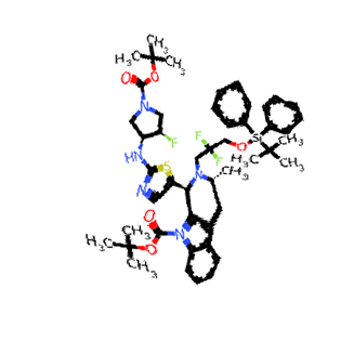 C[C@@H]1Cc2c(n(C(=O)OC(C)(C)C)c3ccccc23)[C@@H](c2cnc(N[C@H]3CN(C(=O)OC(C)(C)C)C[C@H]3F)s2)N1CC(F)(F)CO[Si](c1ccccc1)(c1ccccc1)C(C)(C)C